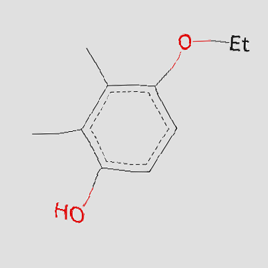 CCOc1ccc(O)c(C)c1C